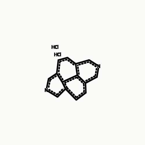 Cl.Cl.c1cc2cncc3ccc4cncc1c4c23